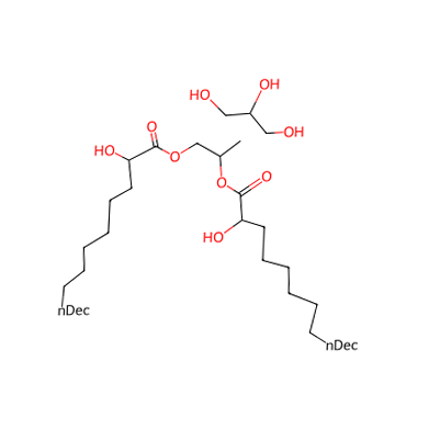 CCCCCCCCCCCCCCCCC(O)C(=O)OCC(C)OC(=O)C(O)CCCCCCCCCCCCCCCC.OCC(O)CO